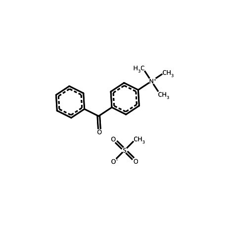 CS(=O)(=O)[O-].C[N+](C)(C)c1ccc(C(=O)c2ccccc2)cc1